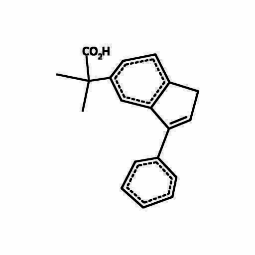 CC(C)(C(=O)O)c1ccc2c(c1)C(c1ccccc1)=CC2